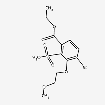 CCOC(=O)c1ccc(Br)c(OCCOC)c1S(C)(=O)=O